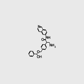 NCC(C(=O)Nc1ccc2cnccc2c1)c1ccc(COC(O)c2ccccc2)cc1